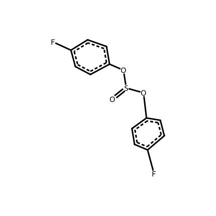 O=S(Oc1ccc(F)cc1)Oc1ccc(F)cc1